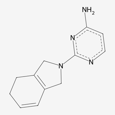 Nc1ccnc(N2CC3=C(CCC=C3)C2)n1